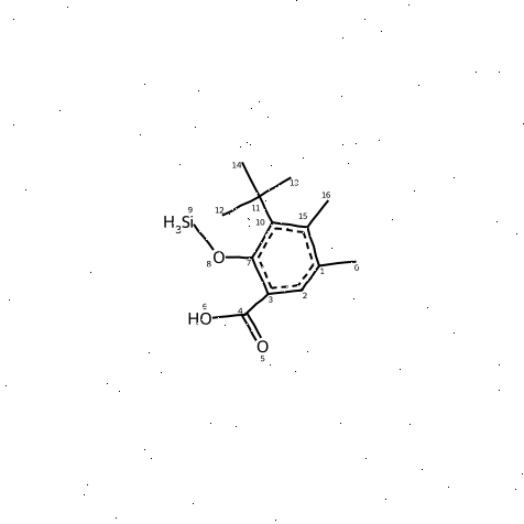 Cc1cc(C(=O)O)c(O[SiH3])c(C(C)(C)C)c1C